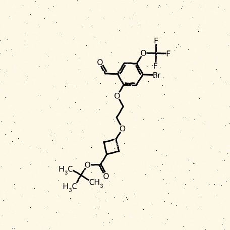 CC(C)(C)OC(=O)C1CC(OCCOc2cc(Br)c(OC(F)(F)F)cc2C=O)C1